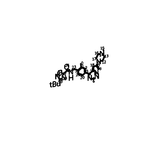 Cc1cc(-c2ncnn3cc(N4CCN(C)CC4)cc23)ccc1CNC(=O)c1nc(C(C)(C)C)no1